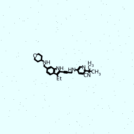 CCc1c(C#CCNc2ccc(C(C)(C)C#N)nc2)[nH]c2cc(CNC3CCOCC3)ccc12